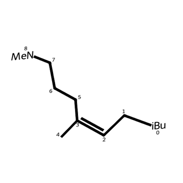 CCC(C)C/C=C(/C)CCCNC